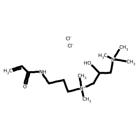 C=CC(=O)NCCC[N+](C)(C)CC(O)C[N+](C)(C)C.[Cl-].[Cl-]